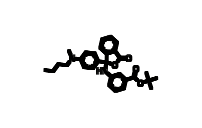 CCCCN(C)c1ccc(C2(Nc3cccc(C(=O)OC(C)(C)C)c3)OC(=O)c3ccccc32)cc1